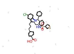 O=C(O)c1ccc(CCCc2c(CCNS(=O)(=O)c3ccsc3)n(C(c3ccccc3)c3ccccc3)c3ccc(Cl)cc23)cc1